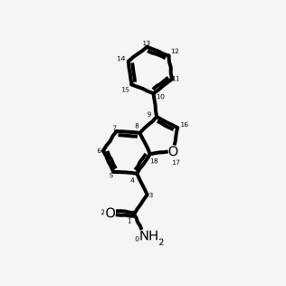 NC(=O)Cc1cccc2c(-c3ccccc3)coc12